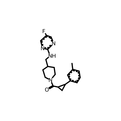 Cc1cccc(C2CC2C(=O)N2CCC(CNc3ncc(F)cn3)CC2)c1